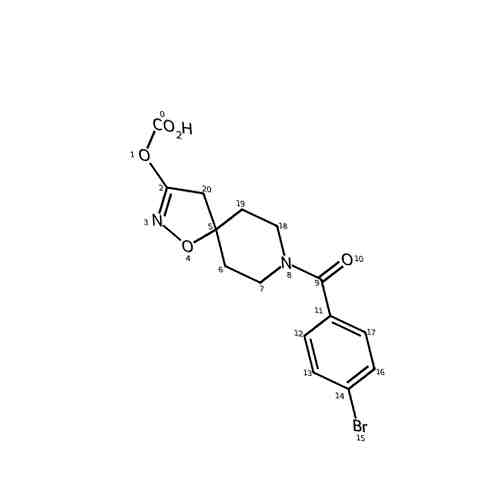 O=C(O)OC1=NOC2(CCN(C(=O)c3ccc(Br)cc3)CC2)C1